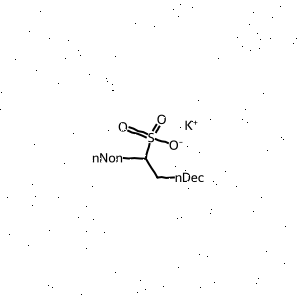 CCCCCCCCCCCC(CCCCCCCCC)S(=O)(=O)[O-].[K+]